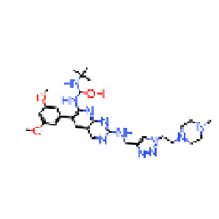 COc1cc(OC)cc(-c2cc3cnc(NCc4cn(CCN5CCN(C)CC5)nn4)nc3nc2NC(O)NC(C)(C)C)c1